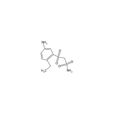 CCc1ccc(N)cc1S(=O)(=O)CS(N)(=O)=O